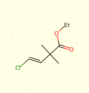 CCOC(=O)C(C)(C)/C=C/Cl